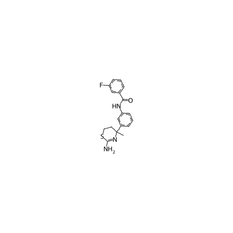 CC1(c2cccc(NC(=O)c3cccc(F)c3)c2)CCSC(N)=N1